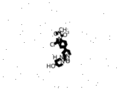 C[N+](=O)C(=O)n1cc(Cl)c2cc(C3=CC(N)(C(=O)N4CCC(O)CC4)NC=C3)ccc21